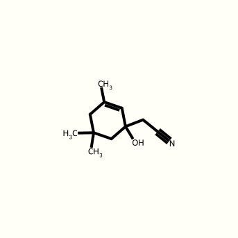 CC1=CC(O)(CC#N)CC(C)(C)C1